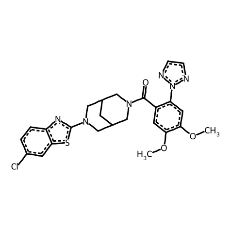 COc1cc(C(=O)N2CC3CC(C2)CN(c2nc4ccc(Cl)cc4s2)C3)c(-n2nccn2)cc1OC